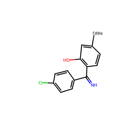 COc1ccc(C(=N)c2ccc(Cl)cc2)c(O)c1